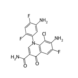 NC(=O)c1cn(-c2cc(N)c(F)cc2F)c2c(Cl)c(N)c(F)cc2c1=O